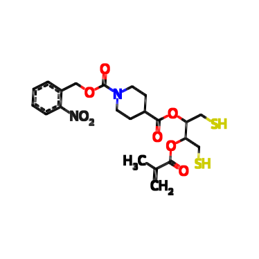 C=C(C)C(=O)OC(CS)C(CS)OC(=O)C1CCN(C(=O)OCc2ccccc2[N+](=O)[O-])CC1